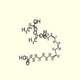 CC(=O)O.CC/C=C\C/C=C\C/C=C\CCCCCCCC(=O)O.CCC(=O)O